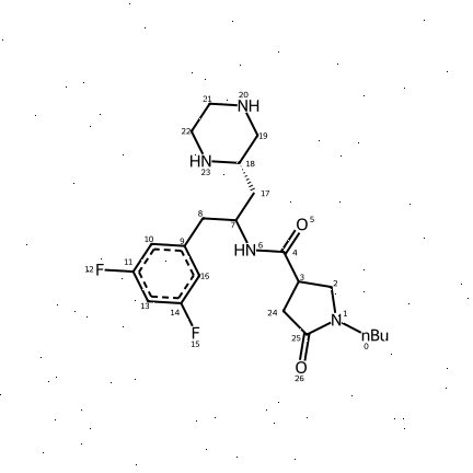 CCCCN1CC(C(=O)NC(Cc2cc(F)cc(F)c2)C[C@H]2CNCCN2)CC1=O